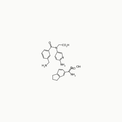 Cl.Cl.NC(=O)c1ccc2c(c1)CCC2.NCc1cccc(C(=O)N(CC(=O)O)c2ccc(N)nc2)c1